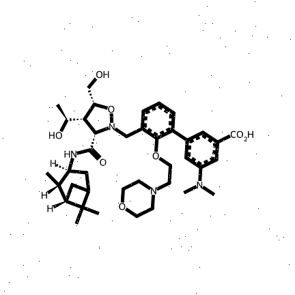 C[C@@H]1[C@@H](NC(=O)[C@@H]2[C@H]([C@H](C)O)[C@H](CO)ON2Cc2cccc(-c3cc(C(=O)O)cc(N(C)C)c3)c2OCCN2CCOCC2)CC2C[C@@H]1C2(C)C